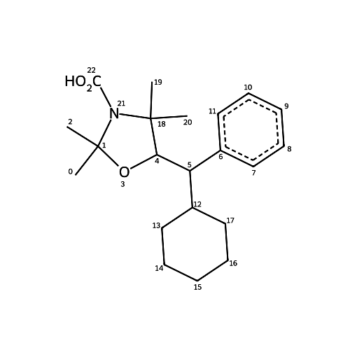 CC1(C)OC(C(c2ccccc2)C2CCCCC2)C(C)(C)N1C(=O)O